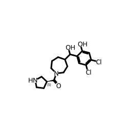 O=C([C@H]1CCNC1)N1CCCC(C(O)c2cc(Cl)c(Cl)cc2O)CC1